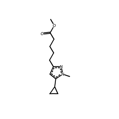 COC(=O)CCCCc1cc(C2CC2)n(C)n1